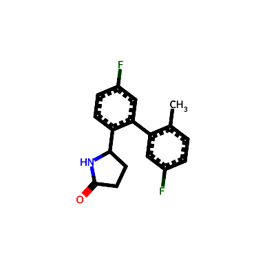 Cc1ccc(F)cc1-c1cc(F)ccc1C1CCC(=O)N1